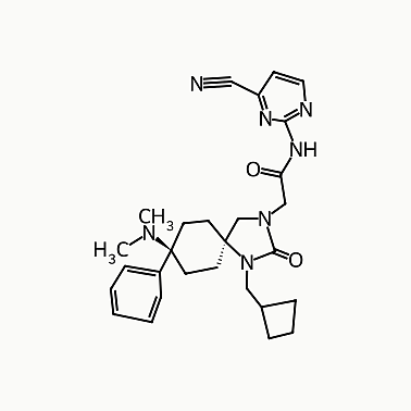 CN(C)[C@]1(c2ccccc2)CC[C@]2(CC1)CN(CC(=O)Nc1nccc(C#N)n1)C(=O)N2CC1CCC1